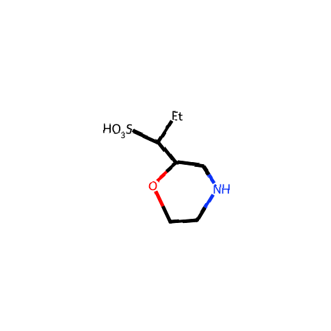 CCC(C1CNCCO1)S(=O)(=O)O